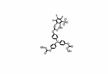 CC(C)(C)OC(=O)Oc1ccc([S+](c2ccc(OC(=O)OC(C)(C)C)cc2)c2ccc(OC(=O)OC(C)(C)C)cc2)cc1.O=S(=O)([O-])c1c(F)c(F)c(F)c(F)c1F